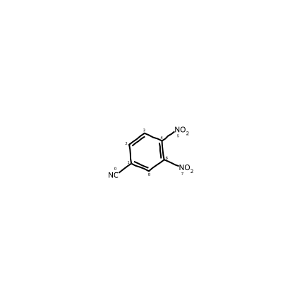 N#Cc1ccc([N+](=O)[O-])c([N+](=O)[O-])c1